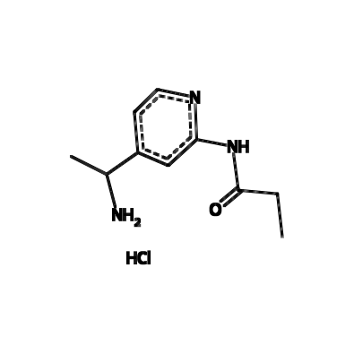 CCC(=O)Nc1cc(C(C)N)ccn1.Cl